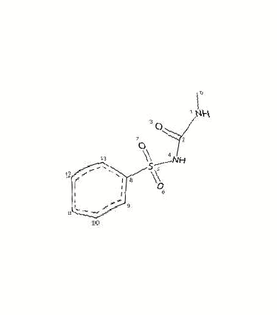 CNC(=O)NS(=O)(=O)c1ccccc1